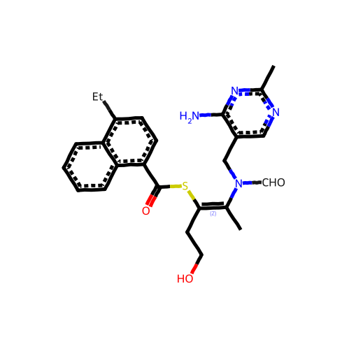 CCc1ccc(C(=O)S/C(CCO)=C(/C)N(C=O)Cc2cnc(C)nc2N)c2ccccc12